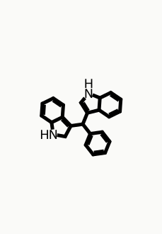 C1=CC2=C(C(C3=CNC4C=CC=CC34)c3ccccc3)CNC2C=C1